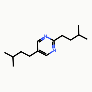 CC(C)CCc1cnc(CCC(C)C)nc1